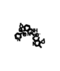 COc1ccc2[nH]c([S+]([O-])Cc3ncc(C)c(OC)c3C)nc2c1S(=O)(=O)c1cccnc1